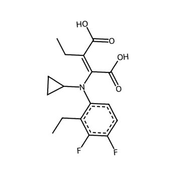 CCC(C(=O)O)=C(C(=O)O)N(c1ccc(F)c(F)c1CC)C1CC1